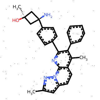 Cc1cc2ccc3c(C)c(-c4ccccc4)c(-c4ccc([C@]5(N)C[C@@](C)(O)C5)cc4)nc3n2n1